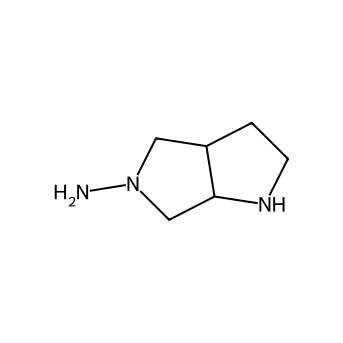 NN1CC2CCNC2C1